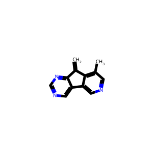 C=C1c2ncncc2-c2cncc(C)c21